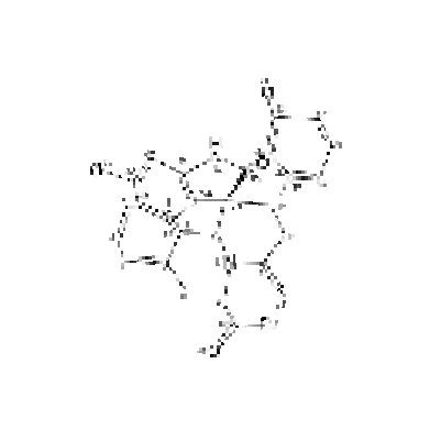 Cc1ccccc1[C@H]1N(CC(=O)F)C(=S)C[C@@H](c2cccc(Cl)c2)[C@]12C(=O)Nc1cc(Cl)ccc12